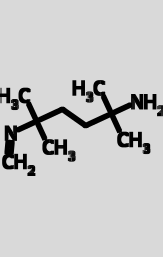 C=NC(C)(C)CCC(C)(C)N